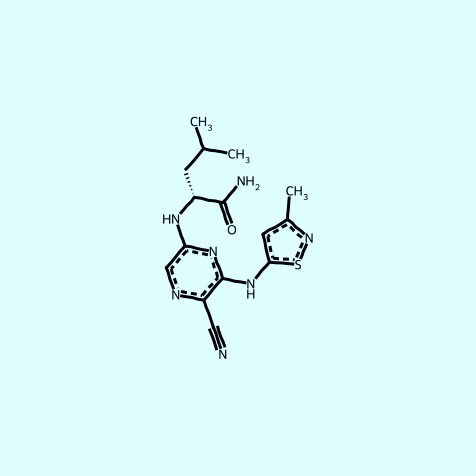 Cc1cc(Nc2nc(N[C@H](CC(C)C)C(N)=O)cnc2C#N)sn1